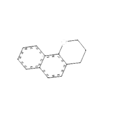 c1ccc2c3c(ccc2c1)CCCO3